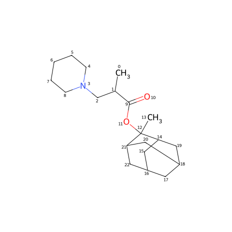 CC(CN1CCCCC1)C(=O)OC1(C)C2CC3CC(C2)CC1C3